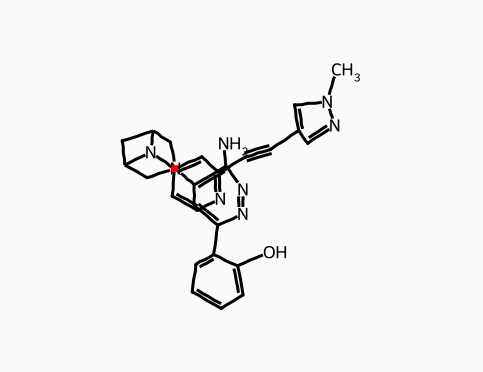 Cn1cc(C#Cc2cc(N3C4CC3CN(c3cc(-c5ccccc5O)nnc3N)C4)ccn2)cn1